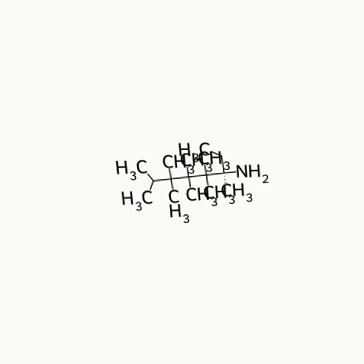 CC[C@@](C)(N)C(C)(C)C(C)(C)C(C)(C)C(C)C